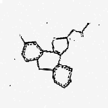 CNC[C@H]1CC2=C(O1)c1cc(F)ccc1Cc1ccccc12